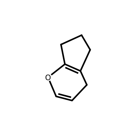 C1=COC2=C(C1)CCC2